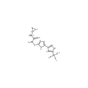 CN(Cc1ccc(-c2noc(C(F)(F)F)n2)s1)C(=O)NC1CC1